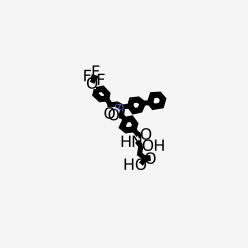 O=C(O)CC(O)NC(=O)c1ccc(C(=O)/C(=C\C(=O)c2ccc(OC(F)(F)F)cc2)c2ccc(-c3ccccc3)cc2)cc1